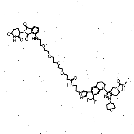 CNC(=O)N1CCc2c(c(N3CCCc4cc(-c5cnn(CCNC(=O)CCOCCOCCOCCOCCNc6cccc7c6C(=O)N(C6CCC(=O)NC6=O)C7=O)c5)c(C(F)F)cc43)nn2C2CCOCC2)C1